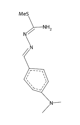 CSC(N)=NN=Cc1ccc(N(C)C)cc1